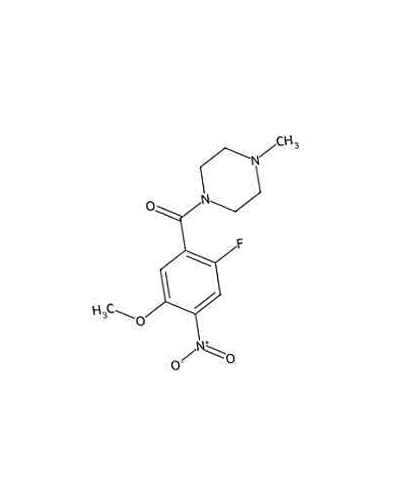 COc1cc(C(=O)N2CCN(C)CC2)c(F)cc1[N+](=O)[O-]